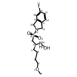 COCCCC[C@@H](CS(=O)(=O)N1Cc2ccc(F)cc2C1)NO